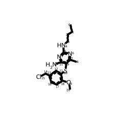 CCCCNc1nc(C)c(Sc2cc(CCl)ccc2OC)c(N)n1